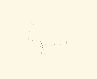 CCC(CC)NC(=O)Nc1ccc(Oc2ccc(NC(=O)c3ccc(OC4CCN(CCC(C)C)CC4)cc3)cc2C)c(OC)c1